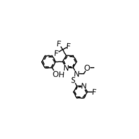 COCN(Sc1cccc(F)n1)c1ccc(C(F)(F)F)c(-c2ccccc2O)n1